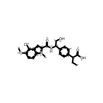 CCC(C(=O)O)c1ccc(C(CO)NC(=O)c2cc3c(Cl)c(OC)ccc3n2C)cc1